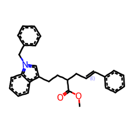 COC(=O)C(C/C=C/c1ccccc1)CCc1cn(Cc2ccccc2)c2ccccc12